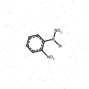 O=[N+]([O-])c1ccccc1N(Br)[N+](=O)[O-]